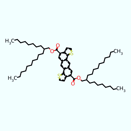 CCCCCCCCCCC(CCCCCCCC)COC(=O)c1cc2cc3c(cc(C(=O)OCC(CCCCCCCC)CCCCCCCCCC)c4ccsc43)cc2c2sccc12